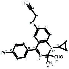 C#CCOc1ccc2c(c1)C(c1ccc(C(C)C)cc1)=NC(C)(C=O)N2C1CC1